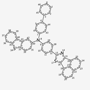 c1ccc(-c2ccc(N(c3ccc(-c4nc5c(s4)-c4cccc6cccc-5c46)cc3)c3ccc4sc5ccccc5c4c3)cc2)cc1